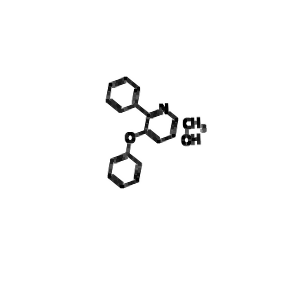 CO.c1ccc(Oc2cccnc2-c2ccccc2)cc1